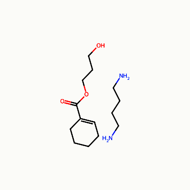 NCCCCN.O=C(OCCCO)C1=CCCCC1